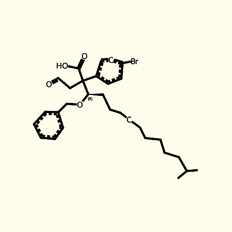 CC(C)CCCCCCCCC[C@@H](OCc1ccccc1)C(CC=O)(C(=O)O)c1ccc(Br)cc1